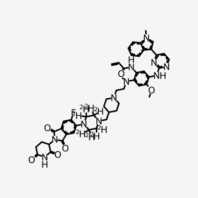 [2H]C1([2H])N(CC2CCN(CCN(C)c3cc(OC)c(Nc4nccc(-c5cn(C)c6ccccc56)n4)cc3NC(=O)C=C)CC2)C([2H])([2H])C([2H])([2H])N(c2cc3c(cc2F)C(=O)N(C2CCC(=O)NC2=O)C3=O)C1([2H])[2H]